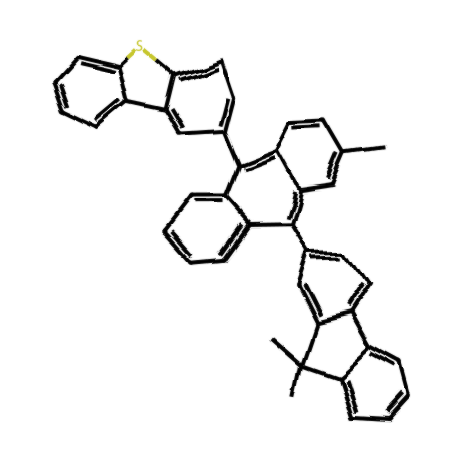 Cc1ccc2c(-c3ccc4sc5ccccc5c4c3)c3ccccc3c(-c3ccc4c(c3)C(C)(C)c3ccccc3-4)c2c1